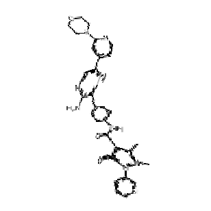 Cc1c(C(=O)Nc2ccc(-c3nc(-c4ccnc(N5CCOCC5)c4)cnc3N)cc2)c(=O)n(-c2cccnc2)n1C